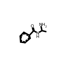 CC(N)NC(=O)c1c[c]ccc1